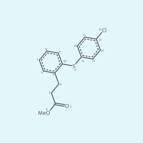 COC(=O)CCc1ccccc1Sc1ccc(Cl)cc1